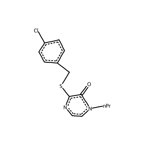 CCCn1ccnc(SCc2ccc(Cl)cc2)c1=O